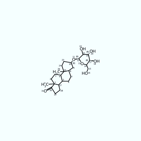 CC12CCC3C(CCC4C[C@H](O[C@@H]5OC(CO)[C@H](O)[C@@H](O)C5O)CCC43C)C1CCC2=O